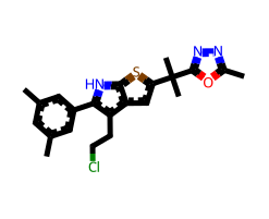 Cc1cc(C)cc(-c2[nH]c3sc(C(C)(C)c4nnc(C)o4)cc3c2CCCl)c1